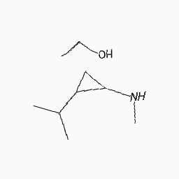 CCO.CNC1CC1C(C)C